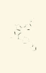 COc1cc2c(cc1C(=O)N1CCN(Cc3ccn(C)n3)CC1)c(-c1ccnc(C(C)(C)O)n1)nn2C